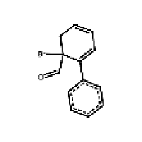 O=CC1(Br)CC=CC=C1c1ccccc1